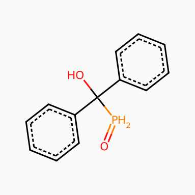 O=[PH2]C(O)(c1ccccc1)c1ccccc1